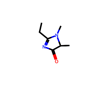 CCC1=NC(=O)C(C)N1C